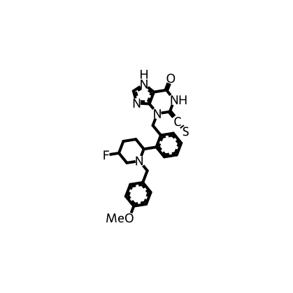 COc1ccc(CN2CC(F)CCC2c2ccccc2CN2C(=C=S)NC(=O)c3[nH]cnc32)cc1